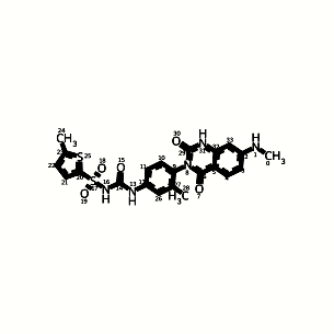 CNc1ccc2c(=O)n(-c3ccc(NC(=O)NS(=O)(=O)c4ccc(C)s4)cc3C)c(=O)[nH]c2c1